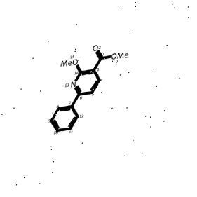 COC(=O)c1ccc(-c2ccccc2)nc1OC